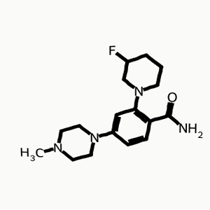 CN1CCN(c2ccc(C(N)=O)c(N3CCCC(F)C3)c2)CC1